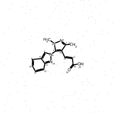 Cc1nn(C)c(-n2cc3ccccc3n2)c1C=CC(=O)O